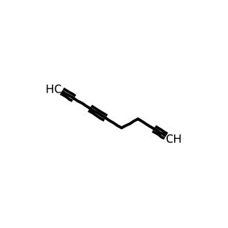 C#CC#CCCC#C